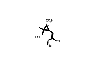 CCCCSC(C#N)=CC1[C@@H](C(=O)O)C1(C)C.Cl